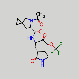 CC(=O)N1CC2(CC2)C[C@H]1C(=O)NC(C[C@@H]1CCNC1=O)C(=O)COC(F)(F)F